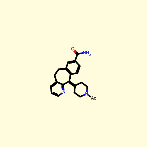 CC(=O)N1CCC(=C2c3ccc(C(N)=O)cc3CCc3cccnc32)CC1